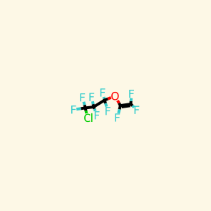 FC(F)=C(F)OC(F)(F)C(F)(F)C(F)(F)Cl